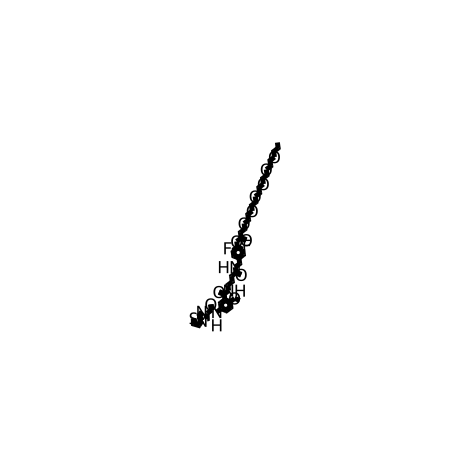 CCCOCCOCCOCCOCCOCCOCCC(=O)Oc1c(F)cc(CNC(=O)CCCNC(=O)c2cc(NC(=O)c3cn4ccsc4n3)ccc2OC)cc1F